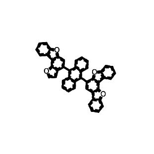 c1ccc2c(c1)oc1c2cc(-c2c3ccccc3c(-c3cc4oc5ccccc5c4c4occc34)c3ccccc23)c2oc3ccccc3c21